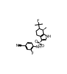 C[C@H]1c2[nH]cc(S(=O)(=O)Nc3ccc(C#N)cc3F)c2CCC1C(C)(C)F